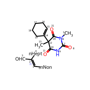 CCCCCCCCC/C=C(/C=O)CCCCCCC.CN1C(=O)NC(=O)C(C)(C2=CCCCC2)C1=O